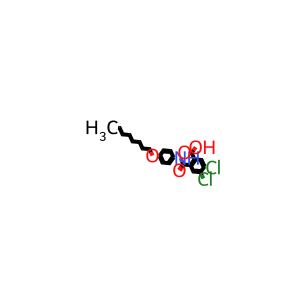 CCCCCCCCOc1ccc(NC(=O)c2cc(Cl)c(Cl)cc2C(=O)O)cc1